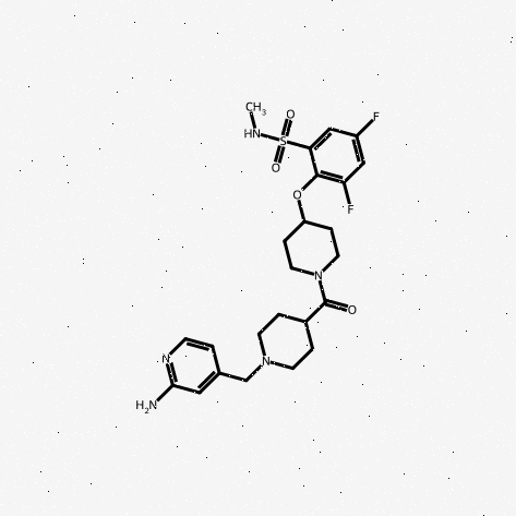 CNS(=O)(=O)c1cc(F)cc(F)c1OC1CCN(C(=O)C2CCN(Cc3ccnc(N)c3)CC2)CC1